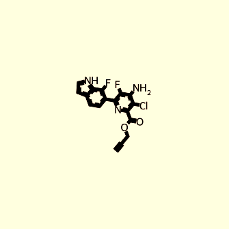 C#CCOC(=O)c1nc(-c2ccc3cc[nH]c3c2F)c(F)c(N)c1Cl